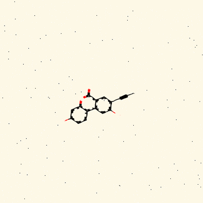 CCC#Cc1cc2c(=O)oc3cc(O)ccc3c2cc1O